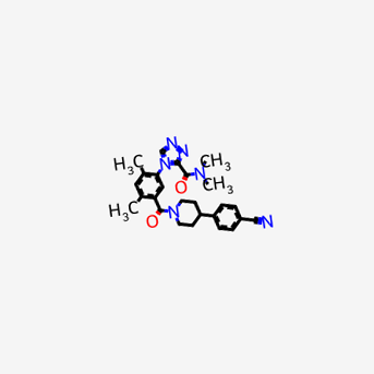 Cc1cc(C)c(-n2cnnc2C(=O)N(C)C)cc1C(=O)N1CCC(c2ccc(C#N)cc2)CC1